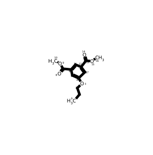 CCCOc1cc(C(=O)OC)cc(C(=O)OC)c1